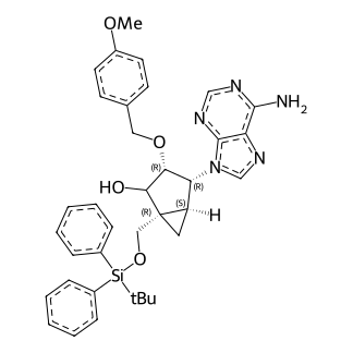 COc1ccc(CO[C@H]2C(O)[C@]3(CO[Si](c4ccccc4)(c4ccccc4)C(C)(C)C)C[C@@H]3[C@H]2n2cnc3c(N)ncnc32)cc1